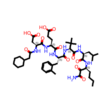 CCCC[C@H](NC(=O)[C@H](CC(C)C)NC(=O)[C@@H](NC(=O)[C@H](Cc1ccccc1C)NC(=O)[C@H](CCC(=O)O)NC(=O)[C@H](CC(=O)O)NC(=O)CC1CCCCC1)C(C)(C)C)C(=O)C(N)=O